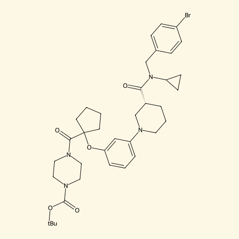 CC(C)(C)OC(=O)N1CCN(C(=O)C2(Oc3cccc(N4CCC[C@@H](C(=O)N(Cc5ccc(Br)cc5)C5CC5)C4)c3)CCCC2)CC1